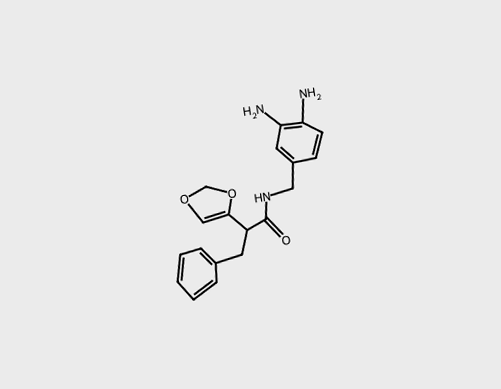 Nc1ccc(CNC(=O)C(Cc2ccccc2)C2=COCO2)cc1N